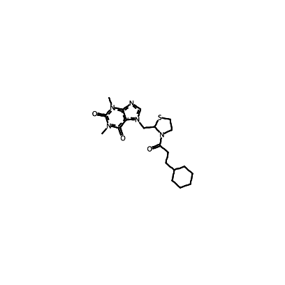 Cn1c(=O)c2c(ncn2CC2SCCN2C(=O)CCC2CCCCC2)n(C)c1=O